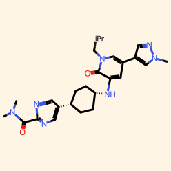 CC(C)Cn1cc(-c2cnn(C)c2)cc(N[C@H]2CC[C@@H](c3cnc(C(=O)N(C)C)nc3)CC2)c1=O